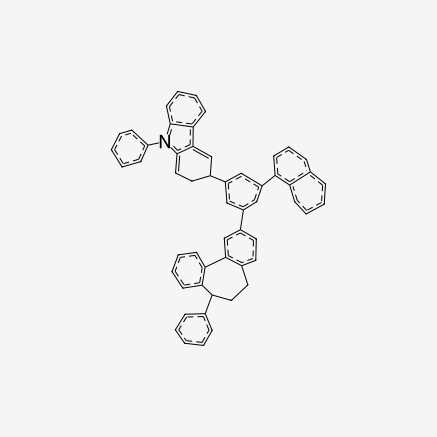 C1=c2c(n(-c3ccccc3)c3ccccc23)=CCC1c1cc(-c2ccc3c(c2)-c2ccccc2C(c2ccccc2)CC3)cc(-c2cccc3ccccc23)c1